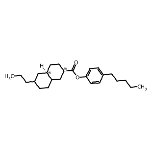 CCCCCc1ccc(OC(=O)[C@@H]2CC[C@@H]3CC(CCC)CCC3C2)cc1